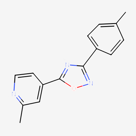 Cc1ccc(-c2noc(-c3ccnc(C)c3)n2)cc1